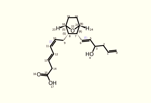 C=CCC(O)/C=C/[C@@H]1[C@H](C/C=C\C=CCC(=O)O)[C@@H]2CC[C@H]1O2